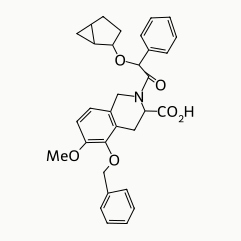 COc1ccc2c(c1OCc1ccccc1)CC(C(=O)O)N(C(=O)C(OC1CCC3CC31)c1ccccc1)C2